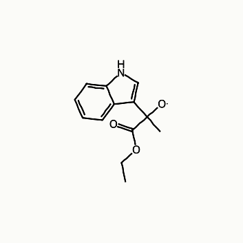 CCOC(=O)C(C)([O])c1c[nH]c2ccccc12